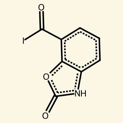 O=C(I)c1cccc2[nH]c(=O)oc12